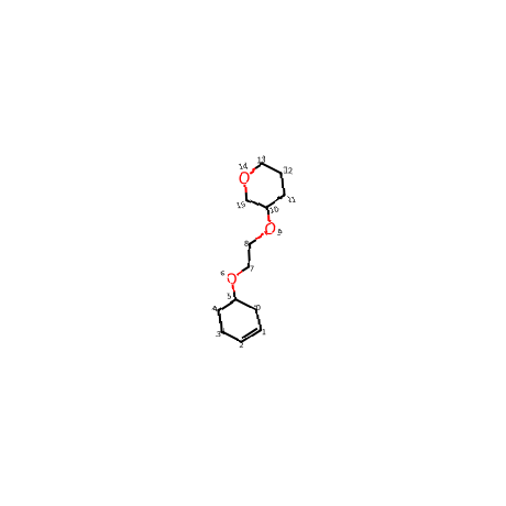 [CH]1C=CCCC1OCCOC1CCCOC1